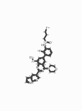 CCOc1cc(-c2cccc(N[S+]([O-])CCCF)c2F)cc2c(N3CCOCC3)nc(-c3cnc4[nH]ccc4c3)nc12